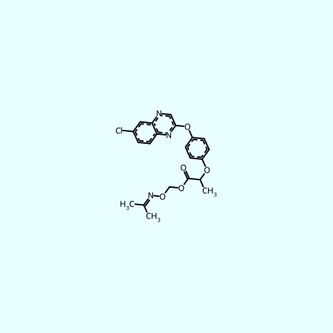 CC(C)=NOCOC(=O)C(C)Oc1ccc(Oc2cnc3cc(Cl)ccc3n2)cc1